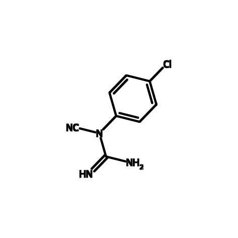 N#CN(C(=N)N)c1ccc(Cl)cc1